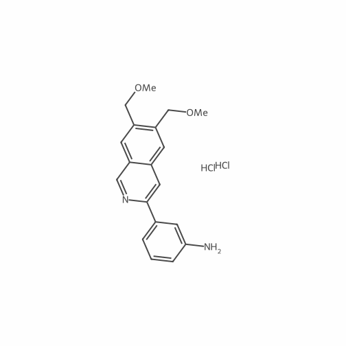 COCc1cc2cnc(-c3cccc(N)c3)cc2cc1COC.Cl.Cl